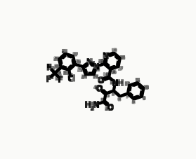 NC(=O)C(=O)C(Cc1ccccc1)NC(=O)c1cccnc1-n1ccc(-c2cccc(C(F)(F)F)c2Cl)n1